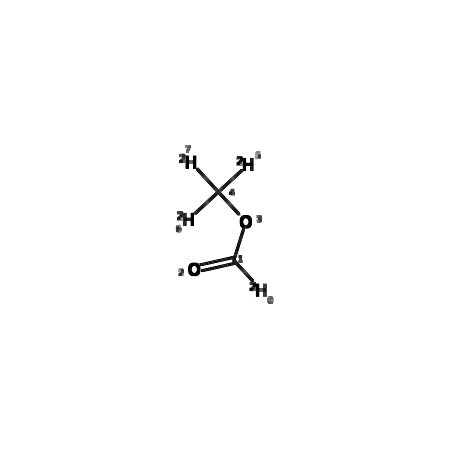 [2H]C(=O)OC([2H])([2H])[2H]